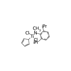 CC(C)c1cccc(C(C)C)c1[N](C)[Ti]([Cl])([Cl])[CH]1C=CC=C1